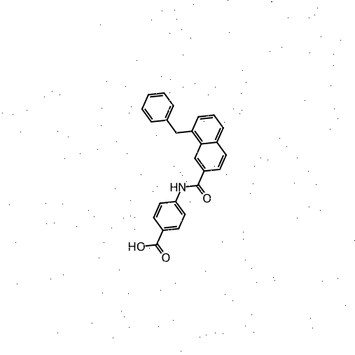 O=C(O)c1ccc(NC(=O)c2ccc3cccc(Cc4ccccc4)c3c2)cc1